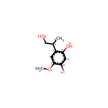 COc1cc(C(C)CO)c(O)cc1I